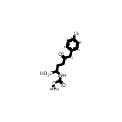 CC(C)(C)OC(=O)NC(CCC(=O)Cc1ccc(Cl)cc1)C(=O)O